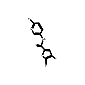 O=C(Nc1ccc(Cl)nc1)c1cc(F)c(F)s1